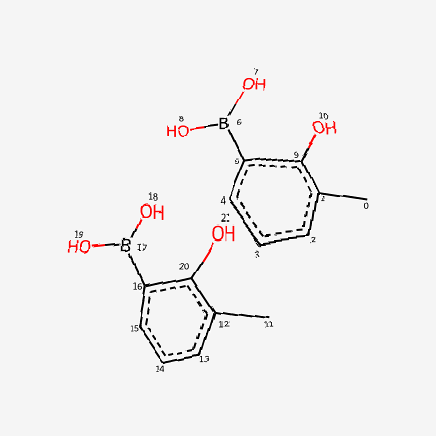 Cc1cccc(B(O)O)c1O.Cc1cccc(B(O)O)c1O